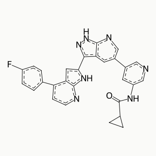 O=C(Nc1cncc(-c2cnc3[nH]nc(-c4cc5c(-c6ccc(F)cc6)ccnc5[nH]4)c3c2)c1)C1CC1